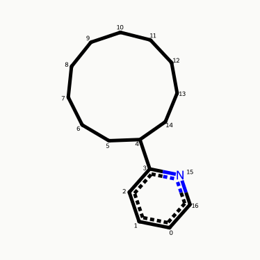 c1ccc(C2CCCCCCCCCC2)nc1